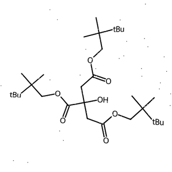 CC(C)(C)C(C)(C)COC(=O)CC(O)(CC(=O)OCC(C)(C)C(C)(C)C)C(=O)OCC(C)(C)C(C)(C)C